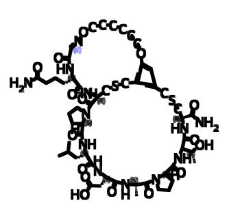 CC(C)C[C@@H]1NC(=O)[C@@H]2CCCN2C(=O)[C@@H]2CSCc3cc(cc(c3)OCCCCCCO/N=C/C(=O)N[C@@H](CCCC(N)=O)C(=O)N2)CSC[C@@H](C(N)=O)NC(=O)C([C@@H](C)O)NC(=O)[C@@H]2CCCN2C(=O)[C@H](C)NC(=O)[C@H](CC(=O)O)NC1=O